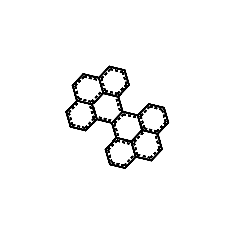 c1cc2ccc3cccc4c3c2c(c1)c1c2cccc3ccc5cccc(c5c32)c41